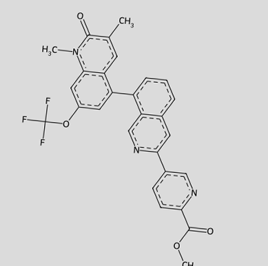 COC(=O)c1ccc(-c2cc3cccc(-c4cc(OC(F)(F)F)cc5c4cc(C)c(=O)n5C)c3cn2)cn1